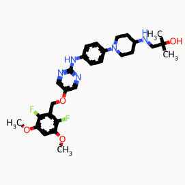 COc1cc(OC)c(F)c(COc2cnc(Nc3ccc(N4CCC(NCC(C)(C)O)CC4)cc3)nc2)c1F